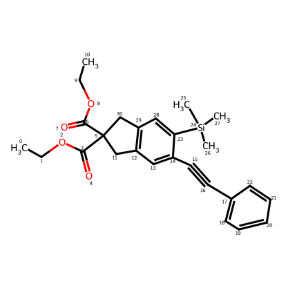 CCOC(=O)C1(C(=O)OCC)Cc2cc(C#Cc3ccccc3)c([Si](C)(C)C)cc2C1